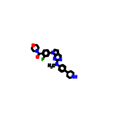 CN(c1ccc(C2CCNCC2)cc1)c1ncc2ccn(-c3ccc(C(=O)N4CCOCC4)c(F)c3)c2n1